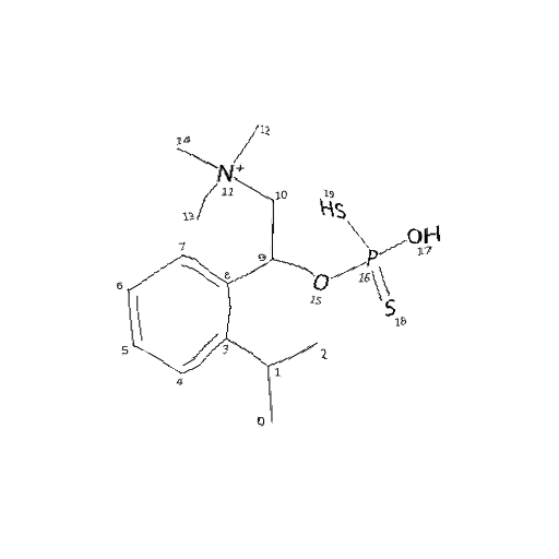 CC(C)c1ccccc1C(C[N+](C)(C)C)OP(O)(=S)S